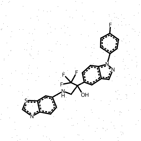 OC(CNc1ccc2ncsc2c1)(c1ccc2c(cnn2-c2ccc(F)cc2)c1)C(F)(F)F